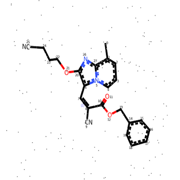 Cc1cccn2c(/C=C(/C#N)C(=O)OCc3ccccc3)c(OCCCC#N)nc12